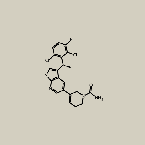 C[C@H](c1c(Cl)ccc(F)c1Cl)c1c[nH]c2ncc(C3=CCCN(C(N)=O)C3)cc12